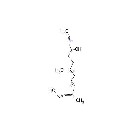 C/C=C/C(O)CC/C(C)=C/C=C/C(C)=C=CO